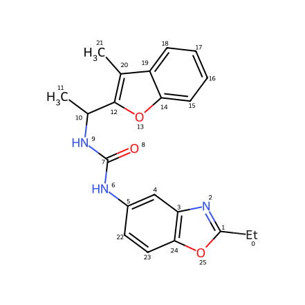 CCc1nc2cc(NC(=O)NC(C)c3oc4ccccc4c3C)ccc2o1